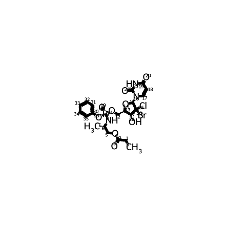 CCC(=O)OC[C@H](C)NP(=O)(OC[C@H]1O[C@@H](n2ccc(=O)[nH]c2=O)[C@](Cl)(Br)[C@@H]1O)Oc1ccccc1